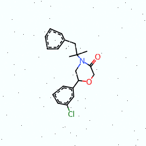 CC(C)(Cc1ccccc1)N1CC(c2cccc(Cl)c2)OCC1=O